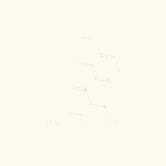 C=C(/C(C(=O)O)=C(/C)ON)c1cccc(OC)c1OC